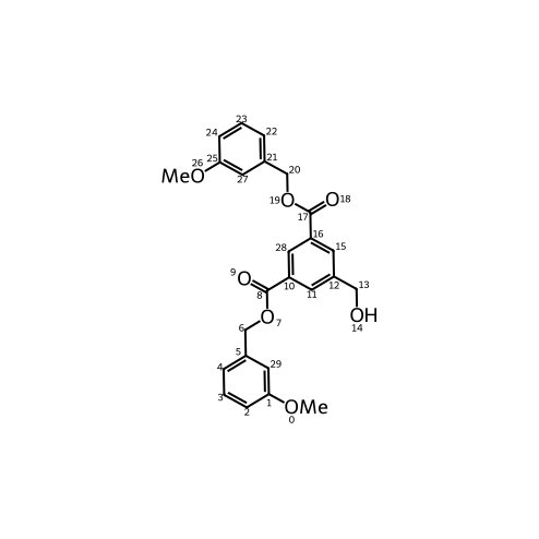 COc1cccc(COC(=O)c2cc(CO)cc(C(=O)OCc3cccc(OC)c3)c2)c1